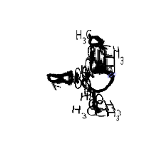 Cc1ccc(C)c(ONC(=O)[C@@]23C[C@H]2/C=C\CCCCCC(NC(=O)OC(C)(C)C)C(=O)N2CC(OC(=O)N4Cc5cccc(F)c5C4)C[C@H]2C(=O)N3)c1